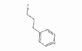 FCCCc1ccncc1